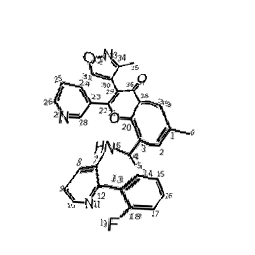 Cc1cc(C(C)Nc2cccnc2-c2ccccc2F)c2oc(-c3cccnc3)c(-c3conc3C)c(=O)c2c1